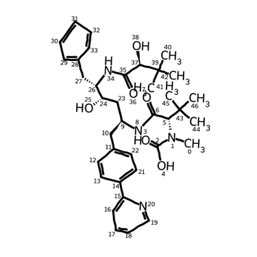 CN(C(=O)O)[C@H](C(=O)N[C@@H](Cc1ccc(-c2ccccn2)cc1)C[C@H](O)[C@H](Cc1ccccc1)NC(=O)[C@@H](O)C(C)(C)C)C(C)(C)C